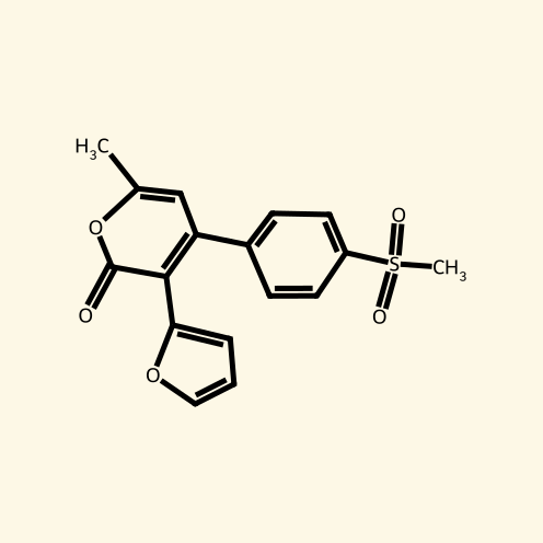 Cc1cc(-c2ccc(S(C)(=O)=O)cc2)c(-c2ccco2)c(=O)o1